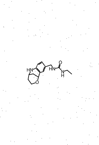 CCNC(=O)NCc1ccc2c(c1)C1CC(CCO1)N2